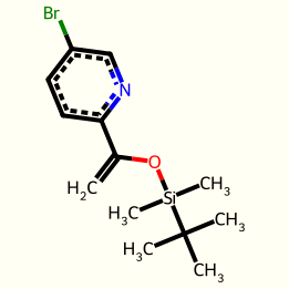 C=C(O[Si](C)(C)C(C)(C)C)c1ccc(Br)cn1